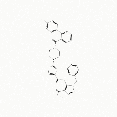 COC(=O)c1cnn(Cc2ccccc2)c1NC(=O)c1csc(C2CCN(C(=O)c3ccccc3-c3ccc(C(F)(F)F)cc3)CC2)n1